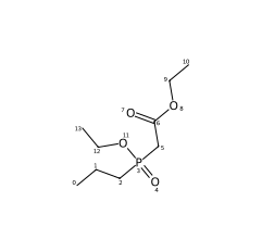 CCCP(=O)(CC(=O)OCC)OCC